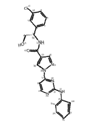 O=C(N[C@H](CO)c1cccc(Cl)c1)c1cnn(-c2ccnc(Nc3ccccc3)n2)c1